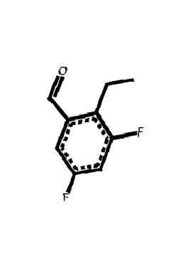 CCc1c(F)cc(F)cc1C=O